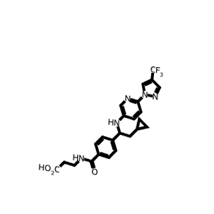 O=C(O)CCNC(=O)c1ccc(C(CC2CC2)Nc2ccc(-n3cc(C(F)(F)F)cn3)nc2)cc1